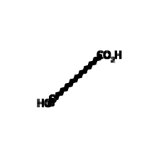 O=C(O)CCCCCCCCCCCCCCCCCCCOSO